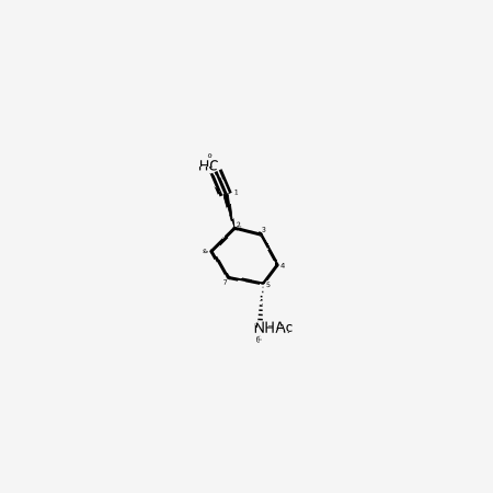 C#C[C@H]1CC[C@H](NC(C)=O)CC1